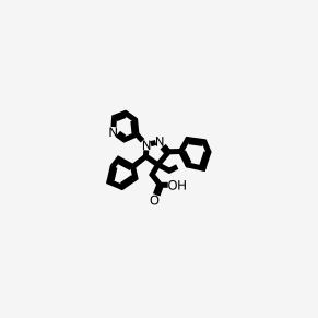 CCC1(CC(=O)O)C(c2ccccc2)=NN(c2cccnc2)C1c1ccccc1